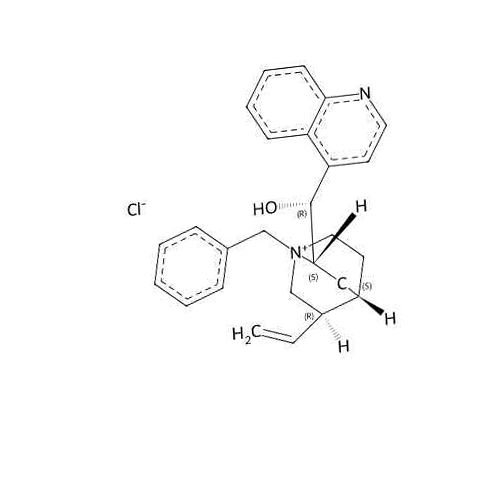 C=C[C@H]1C[N+]2(Cc3ccccc3)CC[C@H]1C[C@H]2[C@H](O)c1ccnc2ccccc12.[Cl-]